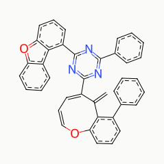 C=C1/C(c2nc(-c3ccccc3)nc(-c3cccc4oc5ccccc5c34)n2)=C\C=COc2cccc(-c3ccccc3)c21